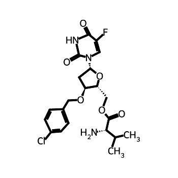 CC(C)[C@H](N)C(=O)OC[C@H]1O[C@@H](n2cc(F)c(=O)[nH]c2=O)C[C@@H]1OCc1ccc(Cl)cc1